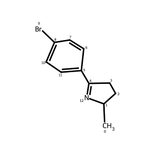 CC1CCC(c2ccc(Br)cc2)=N1